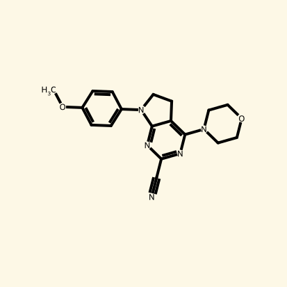 COc1ccc(N2CCc3c(N4CCOCC4)nc(C#N)nc32)cc1